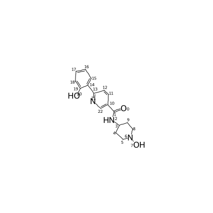 O=C(NC1CCN(O)CC1)c1ccc(-c2ccccc2O)nc1